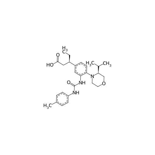 CC[C@H](CC(=O)O)c1ccc(N2CCOC[C@@H]2C(C)C)c(NC(=O)Nc2ccc(C)cc2)c1